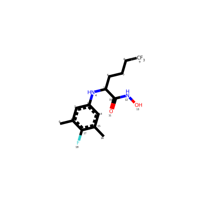 Cc1cc(NC(CCCC(F)(F)F)C(=O)NO)cc(C)c1F